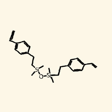 C=Cc1ccc(CC[Si](C)(C)O[Si](C)(C)CCc2ccc(C=C)cc2)cc1